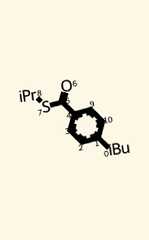 CCC(C)c1ccc(C(=O)SC(C)C)cc1